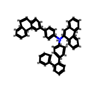 c1ccc(-c2ccccc2-c2ccc(N(c3ccc(-c4ccc5ccc6ccccc6c5c4)cc3)c3cc4ccccc4c4ccccc34)cc2)cc1